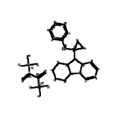 C1=CC2C(C=C1)[CH]([Ti]1([PH]c3ccccc3)[CH2][CH2]1)C1CCCCC21.C=C(C(=C)[Si](C)(C)C)[Si](C)(C)C